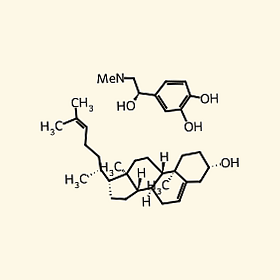 CC(C)=CCC[C@@H](C)[C@H]1CC[C@H]2[C@@H]3CC=C4C[C@@H](O)CC[C@]4(C)[C@H]3CC[C@]12C.CNC[C@H](O)c1ccc(O)c(O)c1